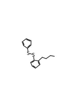 CCCCc1ccccc1SSc1ccccc1